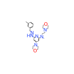 Cc1cccc(/C=N/Nc2cc(N3CCOCC3)cc(N(C)CCN3CCOCC3)n2)c1